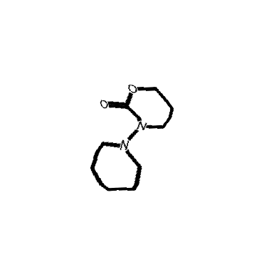 O=C1OCCCN1N1CCCCC1